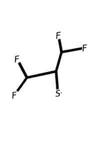 FC(F)C([S])C(F)F